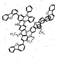 CSN1c2cc3c(cc2B2c4cc5c(cc4N(SC)c4cc(-c6cccc7c6oc6ccccc67)cc1c42)N(SC)c1cc(-c2cccc4c2oc2ccccc24)cc2c1B5c1ccccc1N2c1ccccc1)B1c2ccccc2N(c2ccccc2)c2cc(-c4cccc5c4oc4ccccc45)cc(c21)N3